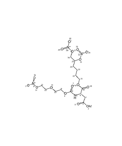 O=C(O)CC(NC(=O)OCCOCCO[N+](=O)[O-])C(=O)OCCCCC(CO[N+](=O)[O-])O[N+](=O)[O-]